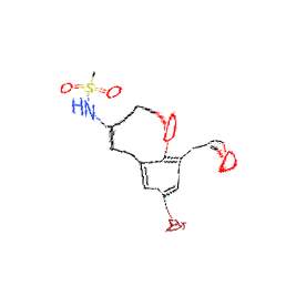 CS(=O)(=O)NC1COc2c(C=O)cc(Br)cc2C1